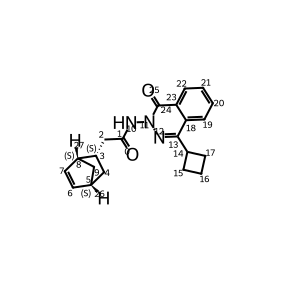 O=C(C[C@@H]1C[C@@H]2C=C[C@H]1C2)Nn1nc(C2CCC2)c2ccccc2c1=O